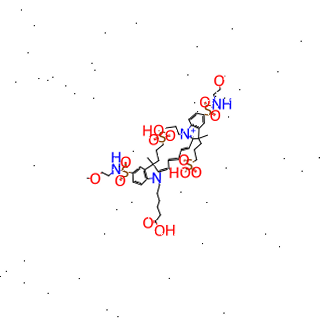 CCC[N+]1=C(/C=C/C=C/C=C2/N(CCCCCC(=O)O)c3ccc(S(=O)(=O)NCCOC)cc3C2(C)CCCS(=O)(=O)O)C(C)(CCCS(=O)(=O)O)c2cc(S(=O)(=O)NCCOC)ccc21